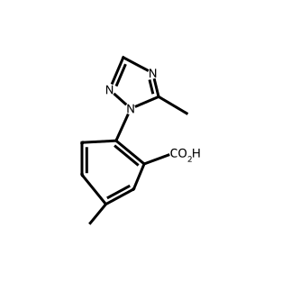 Cc1ccc(-n2ncnc2C)c(C(=O)O)c1